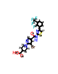 O=C(Nc1nc(-c2cccc(C(F)(F)F)c2F)cs1)c1cnc(N2CCC(C(=O)O)CC2)c(Br)c1